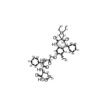 CCCCC1(CCCC)C(=O)[SH]c2cc(OCC(=O)N[C@@H](C(=O)NC(C[S+](C)[O-])C(=O)O)c3ccccc3)c(SC)cc2N(c2ccccc2)C1=O